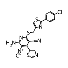 [C-]#[N+]c1c(N)nc(SCc2csc(-c3ccc(Cl)cc3)n2)c(C#N)c1-c1cncs1